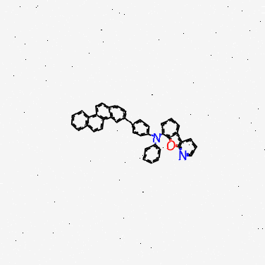 c1ccc(N(c2ccc(-c3ccc4ccc5c6ccccc6ccc5c4c3)cc2)c2cccc3c2oc2ncccc23)cc1